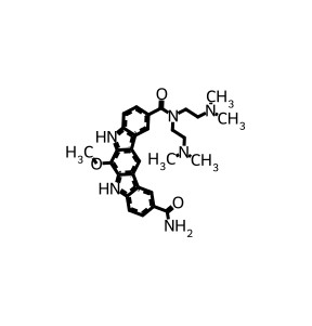 COc1c2[nH]c3ccc(C(N)=O)cc3c2cc2c1[nH]c1ccc(C(=O)N(CCN(C)C)CCN(C)C)cc12